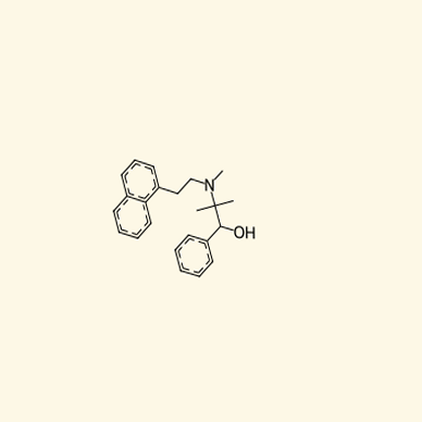 CN(CCc1cccc2ccccc12)C(C)(C)C(O)c1ccccc1